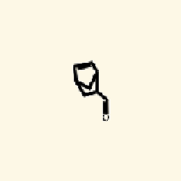 O=CC1CC2C=CC1C2